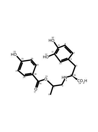 CC(CN[C@@H](Cc1ccc(O)c(O)c1)C(=O)O)OC(=O)c1ccc(O)cc1